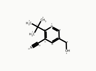 CC(C)(C)c1ncc(CO)cc1C#N